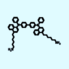 NCCCCCCc1ccc(N(c2ccccc2)c2ccc(-c3ccc(N(c4ccccc4)c4ccc(CCCCCCN)c5ccccc45)cc3)cc2)c2ccccc12